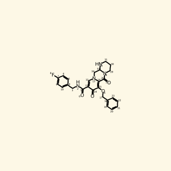 O=C(NCc1ccc(F)cc1)c1cn2c(c(OCc3ccccc3)c1=O)C(=O)N1CCCNC1C2